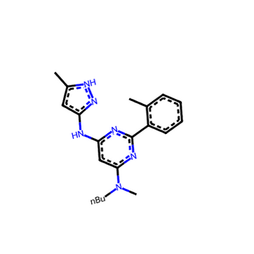 CCCCN(C)c1cc(Nc2cc(C)[nH]n2)nc(-c2ccccc2C)n1